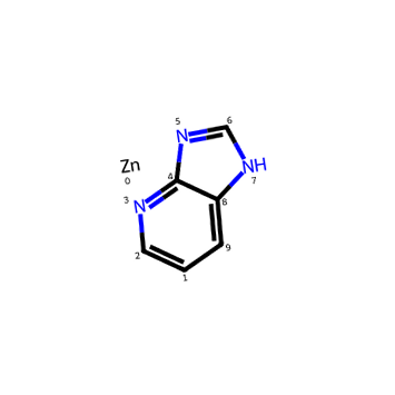 [Zn].c1cnc2nc[nH]c2c1